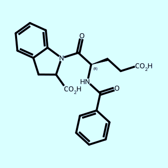 O=C(O)CC[C@@H](NC(=O)c1ccccc1)C(=O)N1c2ccccc2CC1C(=O)O